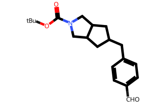 CC(C)(C)OC(=O)N1CC2CC(Cc3ccc(C=O)cc3)CC2C1